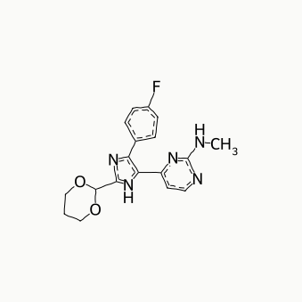 CNc1nccc(-c2[nH]c(C3OCCCO3)nc2-c2ccc(F)cc2)n1